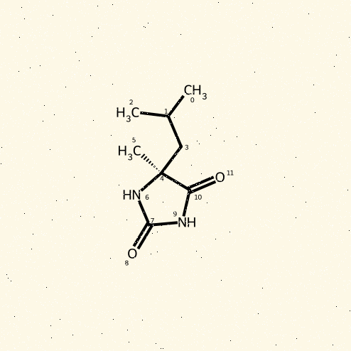 CC(C)C[C@]1(C)NC(=O)NC1=O